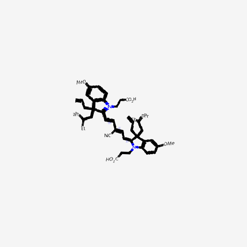 C=CCC1(CC(CC)CCC)C(/C=C/C(C#N)=C/C=C2/N(CCC(=O)O)c3ccc(OC)cc3C2(CC=C)CC(CC)CCC)=[N+](CCC(=O)O)c2ccc(OC)cc21